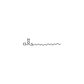 CCCCCCCCCCCCCCCCCCSCC(O)CCl